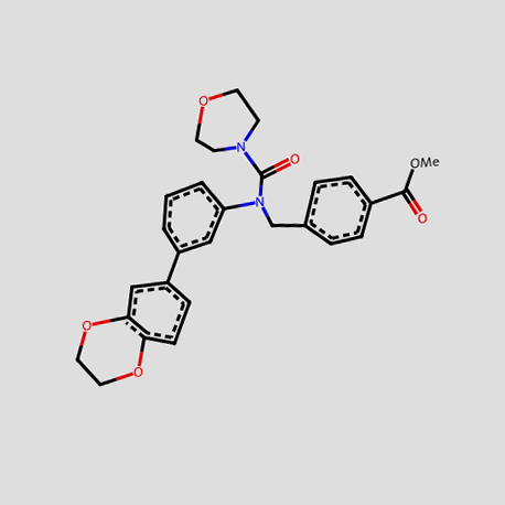 COC(=O)c1ccc(CN(C(=O)N2CCOCC2)c2cccc(-c3ccc4c(c3)OCCO4)c2)cc1